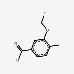 Cc1ccc(C(=O)Cl)cc1OCF